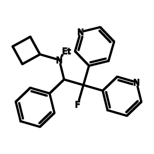 CCN(C1CCC1)C(c1ccccc1)C(F)(c1cccnc1)c1cccnc1